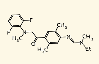 CCN(C)C=Nc1cc(C)c(C(=O)CN(C)c2c(F)cccc2F)cc1C